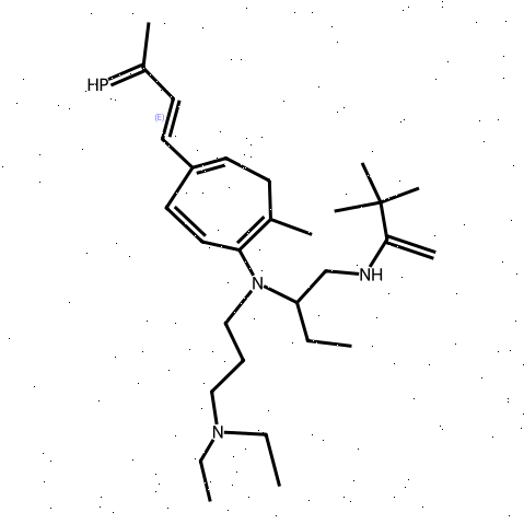 C=C(NCC(CC)N(CCCN(CC)CC)C1=C(C)CC=C(/C=C/C(C)=P)C=C1)C(C)(C)C